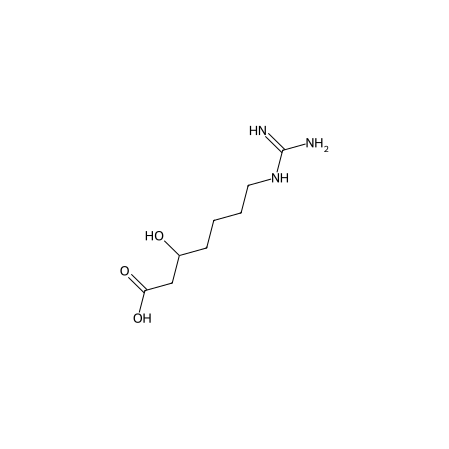 N=C(N)NCCCCC(O)CC(=O)O